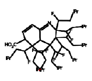 CC(C)CC(F)C1(C(F)CC(C)C)C(C(=O)O)C=CC2=NC(C(F)CC(C)C)(C(F)CC(C)C)C(C(F)CC(C)C)(C(F)CC(C)C)C(C(F)CC(C)C)(C(F)CC(C)C)C21